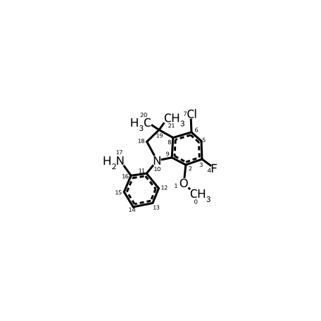 COc1c(F)cc(Cl)c2c1N(c1ccccc1N)CC2(C)C